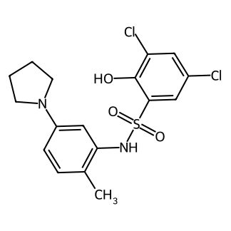 Cc1ccc(N2CCCC2)cc1NS(=O)(=O)c1cc(Cl)cc(Cl)c1O